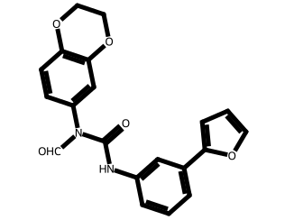 O=CN(C(=O)Nc1cccc(-c2ccco2)c1)c1ccc2c(c1)OCCO2